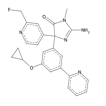 CN1C(=O)C(c2cc(OC3CC3)cc(-c3ccccn3)c2)(c2ccnc(CF)c2)N=C1N